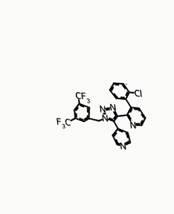 FC(F)(F)c1cc(Cn2nnc(-c3ncccc3-c3ccc[c]c3Cl)c2-c2ccncc2)cc(C(F)(F)F)c1